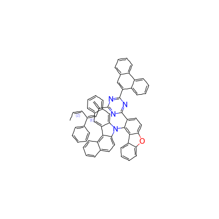 C=C(/C=C(\C=C/C)c1ccccc1)c1nc(-c2ccc3oc4ccccc4c3c2-n2c3cc4ccccc4cc3c3c4ccccc4ccc32)nc(-c2cc3ccccc3c3ccccc23)n1